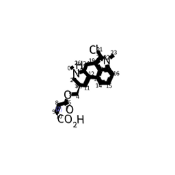 CN1C[C@H](COC(=O)/C=C\C(=O)O)C=C2c3cccc4c3c(c(Cl)n4C)C[C@H]21